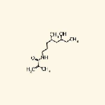 C=C(C)C(=O)NCCCC(C)CC(O)CC